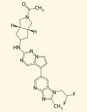 CC(=O)N1C[C@H]2CC(Nc3ncc4c(-c5cnc6nc(C)n(CC(F)F)c6c5)ccn4n3)C[C@H]2C1